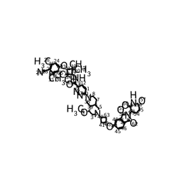 COCCN(CC1CCN(c2ccc(C(=O)NC3C(C)(C)C(Oc4cc(C)c(C#N)c(C)c4)C3(C)C)nn2)CC1)C1CC(Oc2ccc3c(c2)C(=O)N([C@@H]2CCC(=O)NC2=O)C3=O)C1